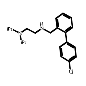 CC(C)N(CCNCc1ccccc1-c1ccc(Cl)cc1)C(C)C